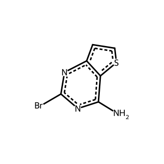 Nc1nc(Br)nc2ccsc12